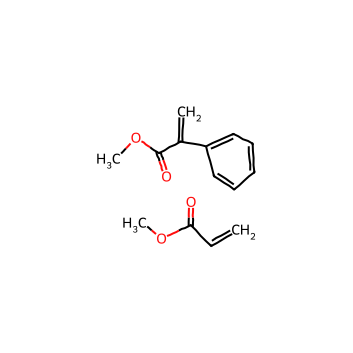 C=C(C(=O)OC)c1ccccc1.C=CC(=O)OC